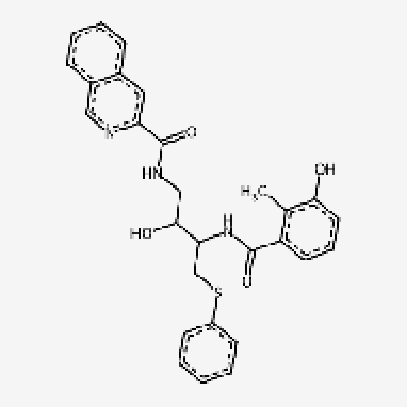 Cc1c(O)cccc1C(=O)NC(CSc1ccccc1)C(O)CNC(=O)c1cc2ccccc2cn1